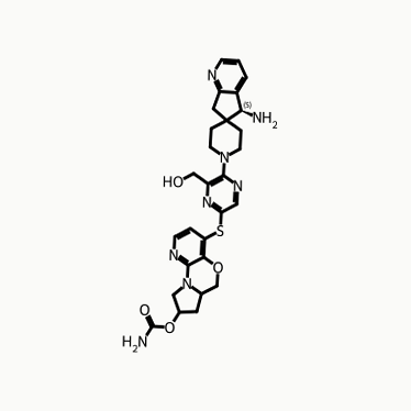 NC(=O)OC1CC2COc3c(Sc4cnc(N5CCC6(CC5)Cc5ncccc5[C@H]6N)c(CO)n4)ccnc3N2C1